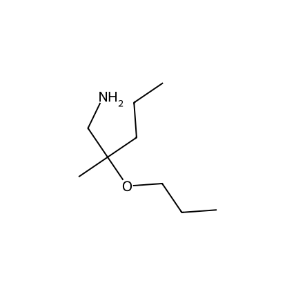 CCCOC(C)(CN)CCC